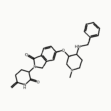 C=C1CCC(N2Cc3cc(OC4CN(C)CCC4NCc4ccccc4)ccc3C2=O)C(=O)N1